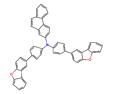 c1ccc2c(c1)ccc1cc(N(c3ccc(-c4ccc5oc6ccccc6c5c4)cc3)c3ccc(-c4ccc5oc6ccccc6c5c4)cc3)ccc12